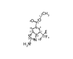 CCOC(=O)c1cc(C(F)(F)F)c2nc(N)sc2c1